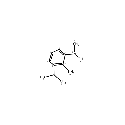 CC(C)c1cccc(N(C)C)c1N